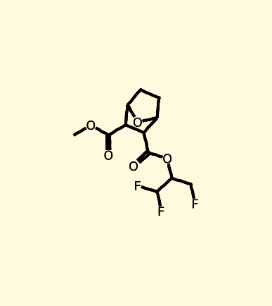 COC(=O)C1C2CCC(O2)C1C(=O)OC(CF)C(F)F